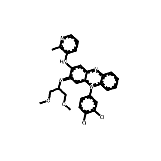 COCC(COC)/N=c1\cc2n(-c3ccc(Cl)c(Cl)c3)c3ccccc3nc-2cc1Nc1cccnc1C